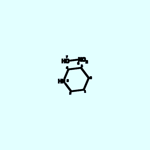 C1CCNCC1.O=[N+]([O-])O